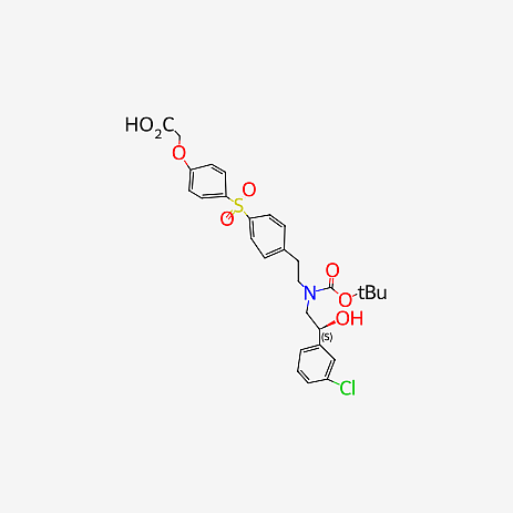 CC(C)(C)OC(=O)N(CCc1ccc(S(=O)(=O)c2ccc(OCC(=O)O)cc2)cc1)C[C@@H](O)c1cccc(Cl)c1